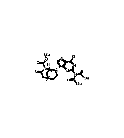 CC(C)(C)OC(=O)N1C(=O)C[C@@H]2CC[C@@H](n3cnc4c(Cl)nc(N(C(=O)C(C)(C)C)C(=O)C(C)(C)C)nc43)[C@H]1C2